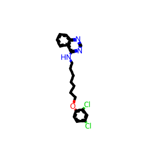 Clc1ccc(OCCCCCCCNc2ncnc3ccccc23)c(Cl)c1